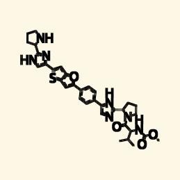 COC(=O)NC(C(=O)N1CCCC1c1ncc(-c2ccc(-c3cc4sc(-c5c[nH]c(C6CCCN6)n5)cc4o3)cc2)[nH]1)C(C)C